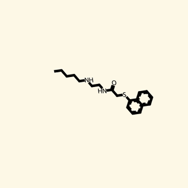 CCCCCNCCNC(=O)CSc1cccc2ccccc12